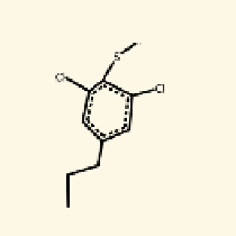 [CH2]Sc1c(Cl)cc(CCC)cc1Cl